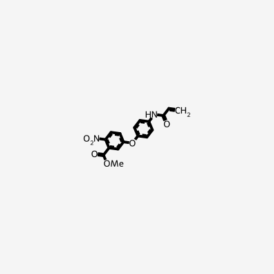 C=CC(=O)Nc1ccc(Oc2ccc([N+](=O)[O-])c(C(=O)OC)c2)cc1